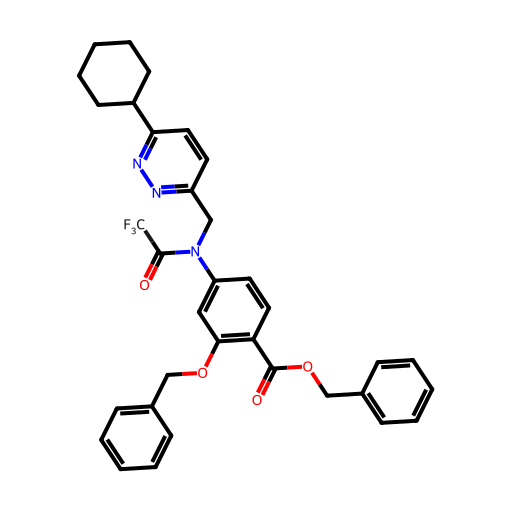 O=C(OCc1ccccc1)c1ccc(N(Cc2ccc(C3CCCCC3)nn2)C(=O)C(F)(F)F)cc1OCc1ccccc1